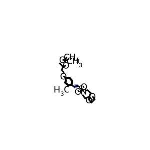 Cc1cc(OCCC2COC(C)(C)O2)ccc1/C=C/S(=O)(=O)N1CCC2(CC1)OCCO2